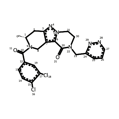 C[C@@H]1Cc2nn3c(c2CN1C(=O)c1ccc(Cl)c(Cl)c1)C(=O)N(Cc1cccnn1)CC3